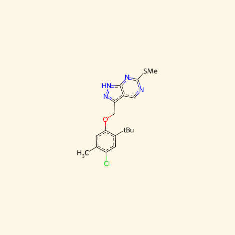 CSc1ncc2c(COc3cc(C)c(Cl)cc3C(C)(C)C)n[nH]c2n1